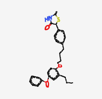 C=C1NC(=O)C(c2ccc(CCCCOc3ccc(Oc4ccccc4)cc3CCC)cc2)S1